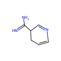 N=C(N)C1C=NC=CC1